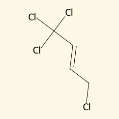 ClCC=CC(Cl)(Cl)Cl